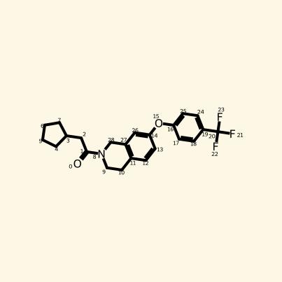 O=C(CC1CCCC1)N1CCc2ccc(Oc3ccc(C(F)(F)F)cc3)cc2C1